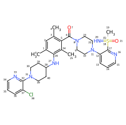 Cc1cc(C)c(C(=O)N2CCN(c3cccnc3[S@@](C)(=N)=O)CC2)c(C)c1NC1CCN(c2ncccc2Cl)CC1